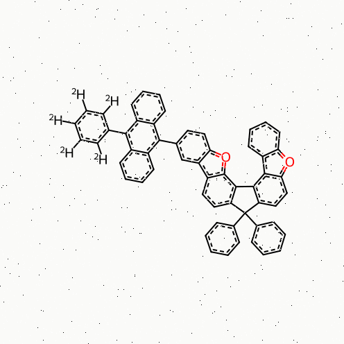 [2H]c1c([2H])c([2H])c(-c2c3ccccc3c(-c3ccc4oc5c6c(ccc5c4c3)C(c3ccccc3)(c3ccccc3)c3ccc4oc5ccccc5c4c3-6)c3ccccc23)c([2H])c1[2H]